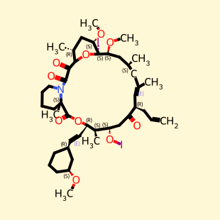 C=CC[C@@H]1/C=C(\C)C[C@H](C)C[C@H](OC)[C@@]2(I)OC(C(=O)C(=O)N3CCCC[C@@]3(C)C(=O)O[C@H](/C=C/[C@@H]3CCC[C@H](OC)C3)[C@H](C)[C@@H](OI)CC1=O)[C@H](C)C[C@@H]2OC